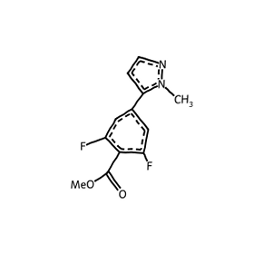 COC(=O)c1c(F)cc(-c2ccnn2C)cc1F